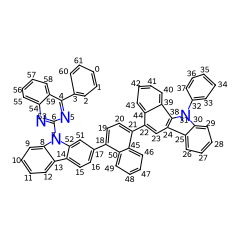 c1ccc(-c2nc(-n3c4ccccc4c4ccc(-c5ccc(-c6cc7c8ccccc8n(-c8ccccc8)c7c7ccccc67)c6ccccc56)cc43)nc3ccccc23)cc1